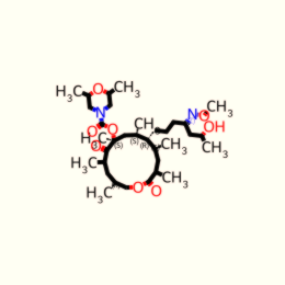 CO/N=C(/CCC[C@@H]1[C@@H](C)CC(C)C(=O)OC[C@H](C)CC(C)C(=O)[C@@](C)(OC(=O)N2CC(C)OC(C)C2)C[C@@H]1C)CC(C)O